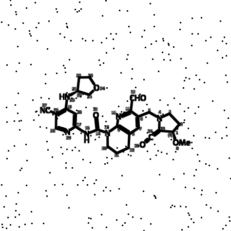 CO[C@@H]1CCN(Cc2cc3c(nc2C=O)N(C(=O)Nc2cc(N[C@H]4CCOC4)c(C#N)cn2)CCC3)C1=C=O